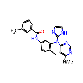 CNc1cc(N(c2ncc[nH]2)c2cc(NC(=O)c3cccc(C(F)(F)F)c3)ccc2C)ncn1